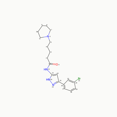 O=C(CCCCN1CCCCC1)Nc1cc(-c2cccc(Br)c2)n[nH]1